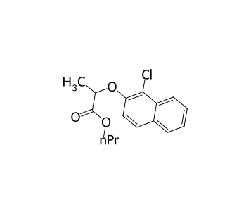 CCCOC(=O)C(C)Oc1ccc2ccccc2c1Cl